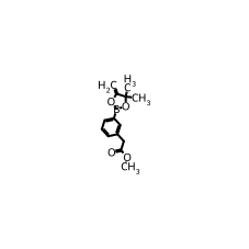 C=C1OB(c2cccc(CC(=O)OC)c2)OC1(C)C